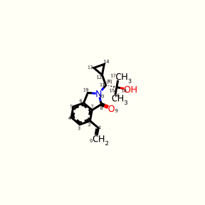 C=Cc1cccc2c1C(=O)N([C@H](C1CC1)C(C)(C)O)C2